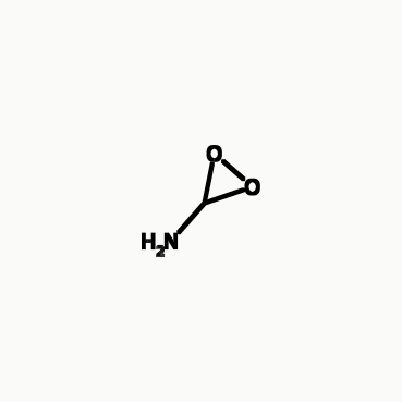 NC1OO1